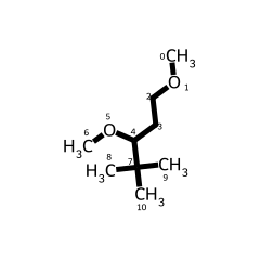 COCCC(OC)C(C)(C)C